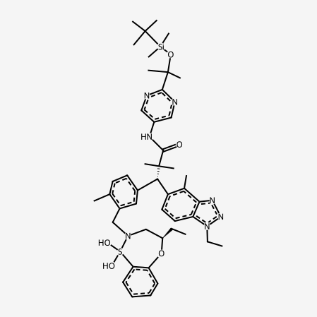 CC[C@@H]1CN(Cc2cc([C@@H](c3ccc4c(nnn4CC)c3C)C(C)(C)C(=O)Nc3cnc(C(C)(C)O[Si](C)(C)C(C)(C)C)nc3)ccc2C)S(O)(O)c2ccccc2O1